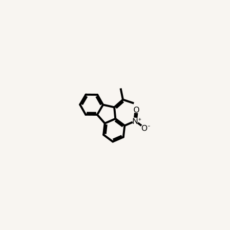 CC(C)=C1c2ccccc2-c2cccc([N+](=O)[O-])c21